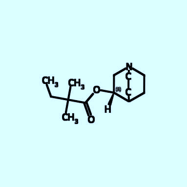 CCC(C)(C)C(=O)O[C@@H]1CN2CCC1CC2